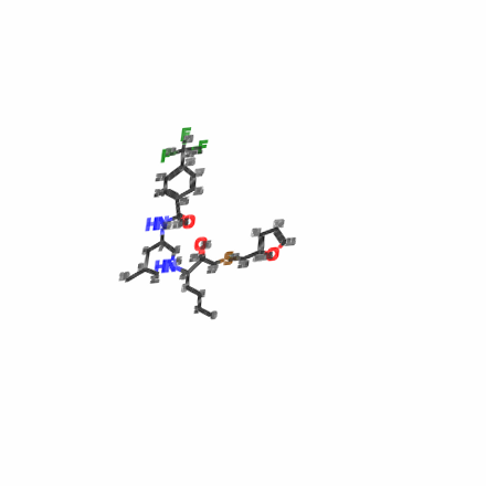 CCCCC(NCC(CC(C)C)NC(=O)c1ccc(C(F)(F)F)cc1)C(=O)CSCc1ccco1